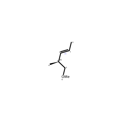 C/C=C/[C@H](C)COC